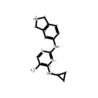 FC(F)(F)c1cnc(Nc2ccc3c(c2)CNC3)nc1NC1CC1